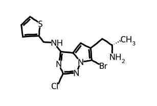 C[C@H](N)Cc1cc2c(NCc3cccs3)nc(Cl)nn2c1Br